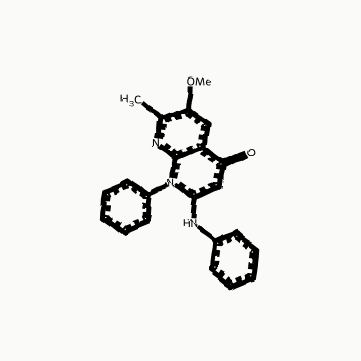 COc1cc2c(=O)cc(Nc3ccccc3)n(-c3ccccc3)c2nc1C